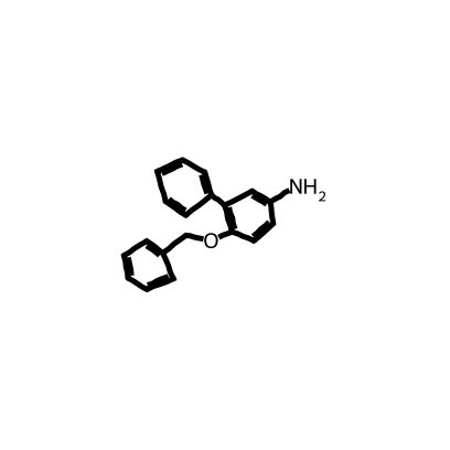 Nc1ccc(OCc2ccccc2)c(-c2ccccc2)c1